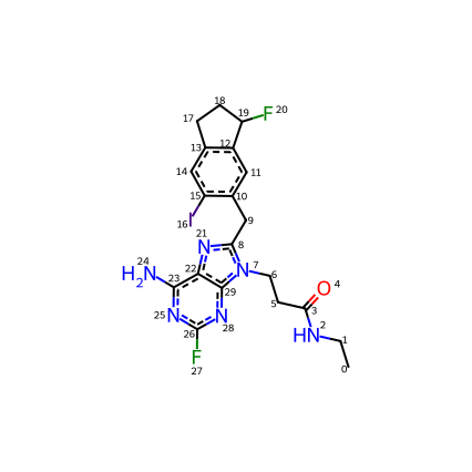 CCNC(=O)CCn1c(Cc2cc3c(cc2I)CCC3F)nc2c(N)nc(F)nc21